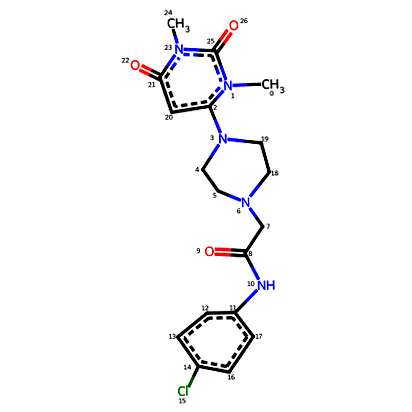 Cn1c(N2CCN(CC(=O)Nc3ccc(Cl)cc3)CC2)cc(=O)n(C)c1=O